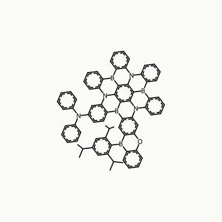 CC(C)c1cc(C(C)C)c(B2c3ccccc3Oc3cc4c(cc32)B2c3ccc(N(c5ccccc5)c5ccccc5)cc3N3c5ccccc5B5c6ccccc6N6c7ccccc7B7c8ccccc8N4c4c7c6c5c3c42)c(C(C)C)c1